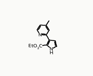 CCOC(=O)c1[nH]ccc1-c1cc(C)ccn1